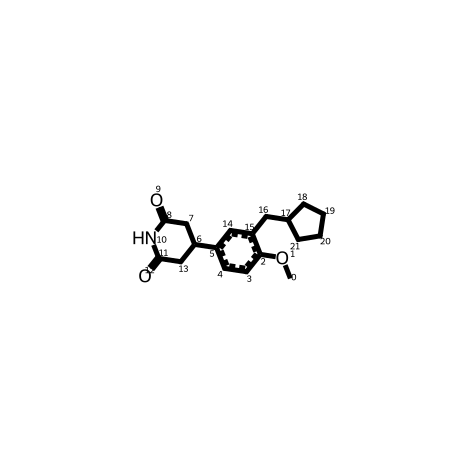 COc1ccc(C2CC(=O)NC(=O)C2)cc1CC1CCCC1